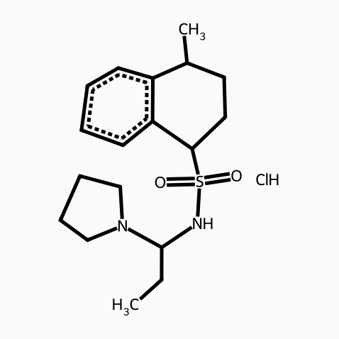 CCC(NS(=O)(=O)C1CCC(C)c2ccccc21)N1CCCC1.Cl